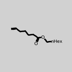 C=CCCCCC(=O)OCCCCCCC